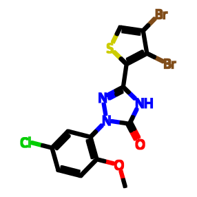 COc1ccc(Cl)cc1-n1nc(-c2scc(Br)c2Br)[nH]c1=O